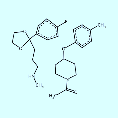 CC(=O)N1CCC(Oc2ccc(C)cc2)CC1.CNCCCC1(c2ccc(F)cc2)OCCO1